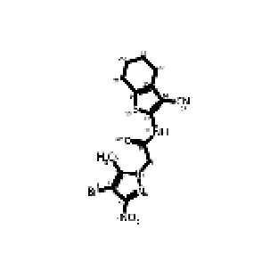 Cc1c(Br)c([N+](=O)[O-])nn1CC(=O)Nc1sc2c(c1C#N)CCCC2